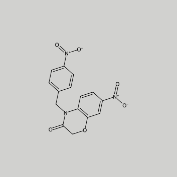 O=C1COc2cc([N+](=O)[O-])ccc2N1Cc1ccc([N+](=O)[O-])cc1